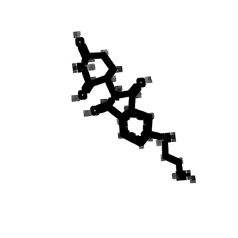 NCCNc1ccc2c(c1)C(=O)N(C1CCC(=O)NC1=O)C2=O